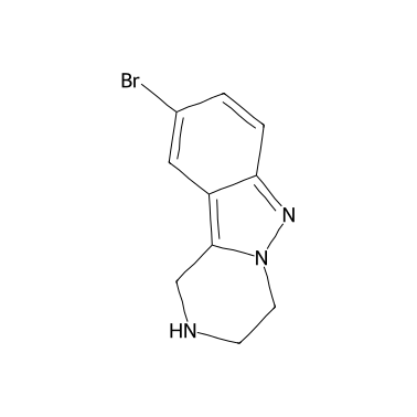 Brc1ccc2nn3c(c2c1)CNCC3